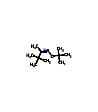 C/C(=N/OC(C)(C)C)C(C)(C)C